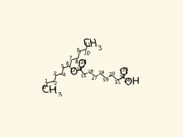 CCCCCCC(CCCCC)OC(=O)CCCCCCCC(=O)O